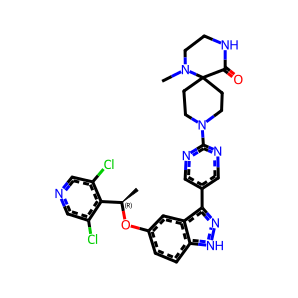 C[C@@H](Oc1ccc2[nH]nc(-c3cnc(N4CCC5(CC4)C(=O)NCCN5C)nc3)c2c1)c1c(Cl)cncc1Cl